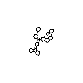 c1ccc(-c2cccc(N(c3ccc(-n4c5ccccc5c5ccccc54)cc3)c3ccc4c(ccc5ccc6c7ccccc7oc6c54)c3)c2)cc1